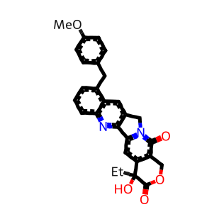 CCC1(O)C(=O)OCc2c1cc1n(c2=O)Cc2cc3c(Cc4ccc(OC)cc4)cccc3nc2-1